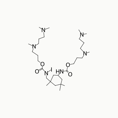 CN(C)CCCN(C)CCCOC(=O)NC1CC(C)(C)CC(C)(CN(I)C(=O)OCCCN(C)CCCN(C)C)C1